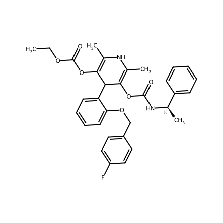 CCOC(=O)OC1=C(C)NC(C)=C(OC(=O)N[C@H](C)c2ccccc2)C1c1ccccc1OCc1ccc(F)cc1